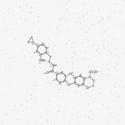 CCOC(=O)C1CCOc2cc(Oc3ccc(C(=O)NCCc4ccc(C5CC5)nc4OC)cc3)c(Cl)cc21